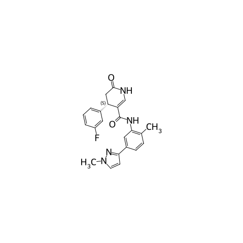 Cc1ccc(-c2ccn(C)n2)cc1NC(=O)C1=CNC(=O)C[C@H]1c1cccc(F)c1